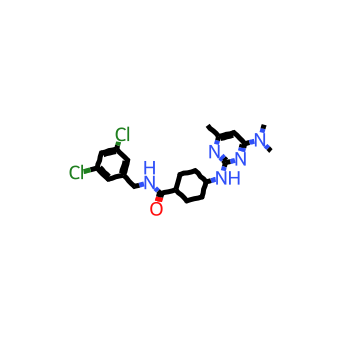 Cc1cc(N(C)C)nc(NC2CCC(C(=O)NCc3cc(Cl)cc(Cl)c3)CC2)n1